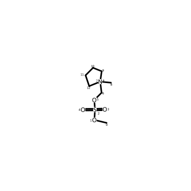 COS(=O)(=O)OC[N+]1(C)CCCC1